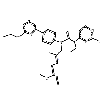 C=C/C(=C\C=C(/C)CN(C(=O)C(CC)c1ccnc(Cl)n1)c1ccc(-c2cncc(OCC)n2)cc1)OC